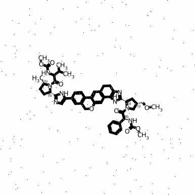 COC[C@H]1C[C@@H](c2nc3c([nH]2)-c2cc4c(cc2CC3)-c2ccc(-c3cnc([C@@H]5CC[C@H](C)N5C(=O)C(NC(=O)OC)C(C)C)[nH]3)cc2CO4)N(C(=O)[C@H](NC(=O)OC)c2ccccc2)C1